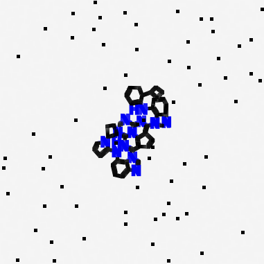 C1=CCC(C2CCC2)C(Nc2cccc3ncn(-c4nc5ncnc6nc(-n7cnc8cccc(Nc9cccn9C9CCC9)c87)c7ccc4c7n56)c23)=C1